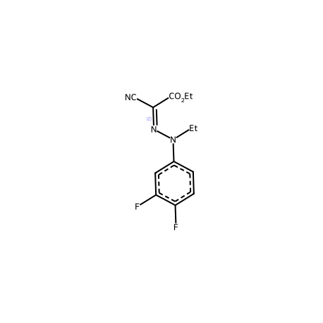 CCOC(=O)/C(C#N)=N\N(CC)c1ccc(F)c(F)c1